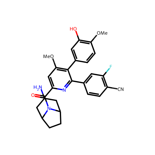 COc1ccc(-c2c(OC)cc(C(=O)N3C4CCC3CC(N)C4)nc2-c2ccc(C#N)c(F)c2)cc1O